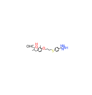 Cc1c(OCCCCSc2ccc(-c3nn[nH]n3)cc2)ccc(CC(C)CC=O)c1O